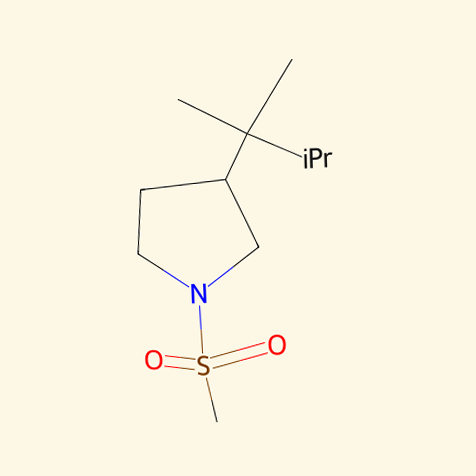 CC(C)C(C)(C)C1CCN(S(C)(=O)=O)C1